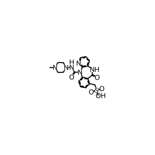 CN1CCN(NC(=O)N2c3cccc(CS(=O)(=O)O)c3C(=O)Nc3cccnc32)CC1